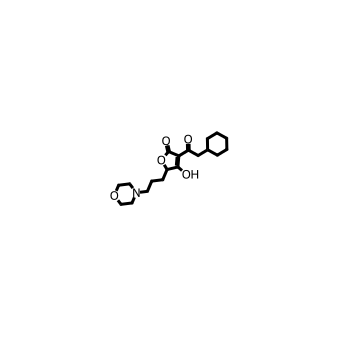 O=C(CC1CCCCC1)C1=C(O)C(CCCN2CCOCC2)OC1=O